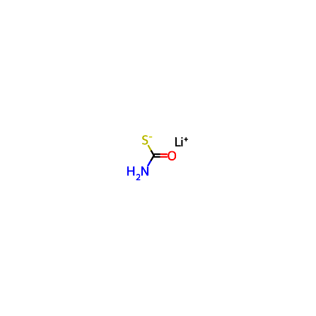 NC(=O)[S-].[Li+]